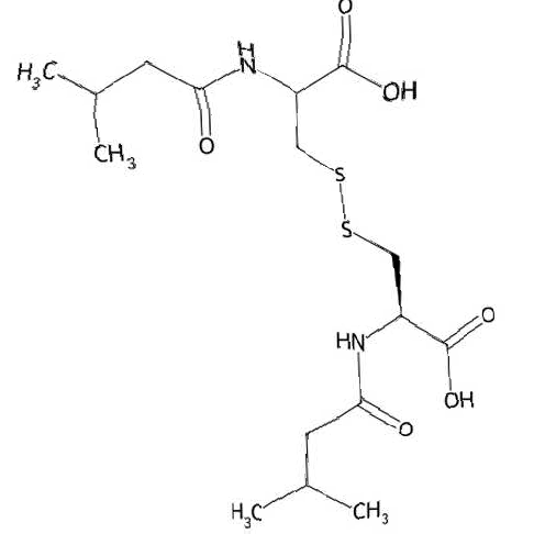 CC(C)CC(=O)NC(CSSC[C@H](NC(=O)CC(C)C)C(=O)O)C(=O)O